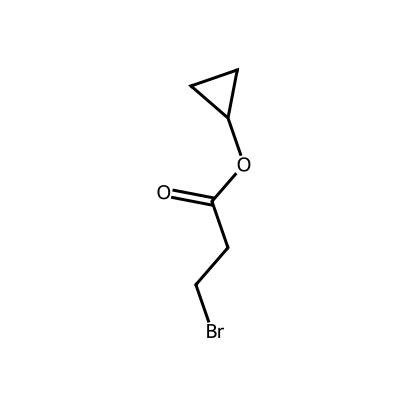 O=C(CCBr)OC1CC1